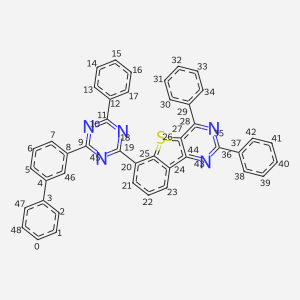 c1ccc(-c2cccc(-c3nc(-c4ccccc4)nc(-c4cccc5c4sc4c(-c6ccccc6)nc(-c6ccccc6)nc45)n3)c2)cc1